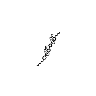 CCCCCCC1C=CC(COc2ccc(-c3ccc(COc4ccc(CCCCC)c(F)c4F)cc3)c(F)c2F)CC1